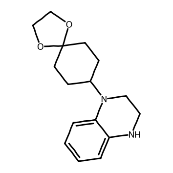 c1ccc2c(c1)NCCN2C1CCC2(CC1)OCCO2